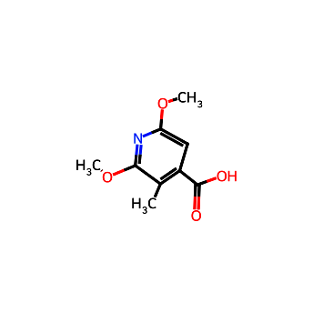 COc1cc(C(=O)O)c(C)c(OC)n1